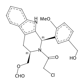 COc1ccc(CO)cc1[C@@H]1c2[nH]c3ccccc3c2C[C@H](COC=O)N1C(=O)CCl